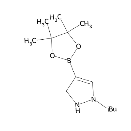 CCC(C)N1C=C(B2OC(C)(C)C(C)(C)O2)CN1